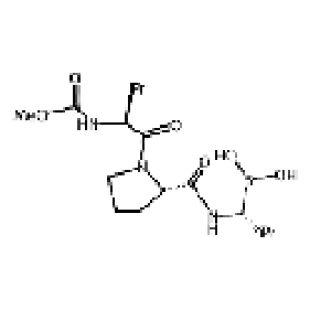 COC(=O)N[C@H](C(=O)N1CCC[C@H]1C(=O)N[C@H](B(O)O)C(C)C)C(C)C